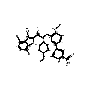 CN[C@H]1CC[C@H](N(Cc2cc(-c3ccnc(C(=O)O)c3)ccc2OC)C(=O)c2sc3c(F)ccc(C)c3c2Cl)CC1